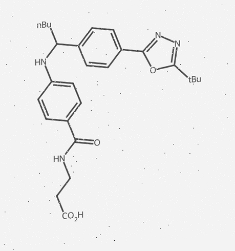 CCCCC(Nc1ccc(C(=O)NCCC(=O)O)cc1)c1ccc(-c2nnc(C(C)(C)C)o2)cc1